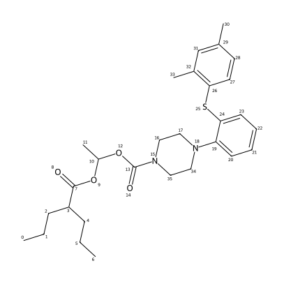 CCCC(CCC)C(=O)OC(C)OC(=O)N1CCN(c2ccccc2Sc2ccc(C)cc2C)CC1